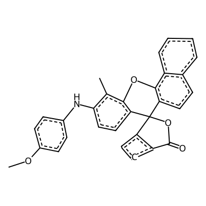 COc1ccc(Nc2ccc3c(c2C)Oc2c(ccc4ccccc24)C32OC(=O)c3ccccc32)cc1